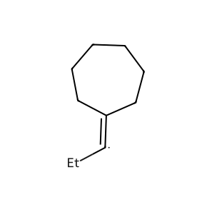 CC[C]=C1CCCCCC1